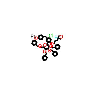 CCOc1ccc(Cc2cc([C@@H]3O[C@H](COCc4ccccc4)[C@@H](OCc4ccccc4)[C@H](OCc4ccccc4)[C@H]3OCc3ccccc3)c(OCCCC3(F)COC3)cc2Cl)cc1